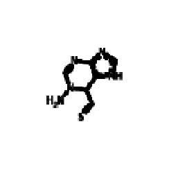 NN1C=Nc2nc[nH]c2C1C=S